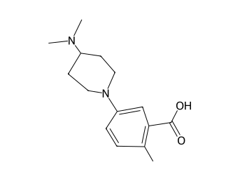 Cc1ccc(N2CCC(N(C)C)CC2)cc1C(=O)O